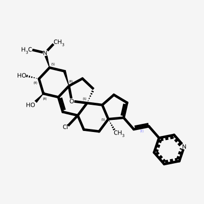 CN(C)[C@H]1C[C@@]23CC[C@]4(O2)C2CC=C(/C=C/c5cccnc5)[C@@]2(C)CCC4(Cl)C=C3[C@@H](O)[C@@H]1O